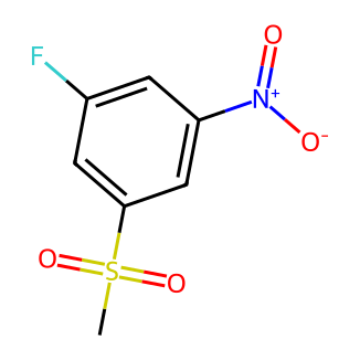 CS(=O)(=O)c1cc(F)cc([N+](=O)[O-])c1